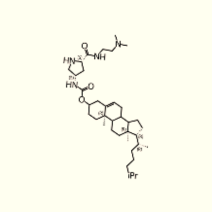 CC(C)CCC[C@@H](C)[C@H]1CCC2C3CC=C4CC(OC(=O)N[C@@H]5CN[C@H](C(=O)NCCN(C)C)C5)CC[C@]4(C)C3CC[C@@]21C